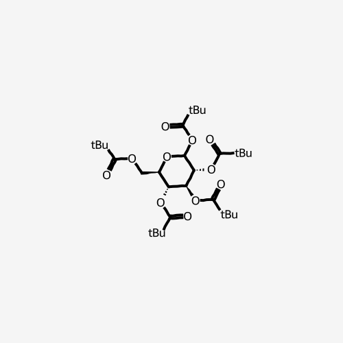 CC(C)(C)C(=O)OC[C@H]1OC(OC(=O)C(C)(C)C)[C@H](OC(=O)C(C)(C)C)[C@@H](OC(=O)C(C)(C)C)[C@@H]1OC(=O)C(C)(C)C